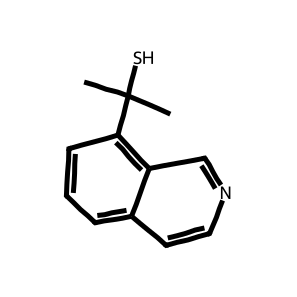 CC(C)(S)c1cccc2ccncc12